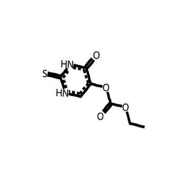 CCOC(=O)Oc1c[nH]c(=S)[nH]c1=O